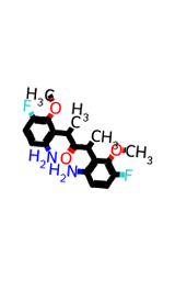 COc1c(F)ccc(N)c1C(C)C(=O)C(C)c1c(N)ccc(F)c1OC